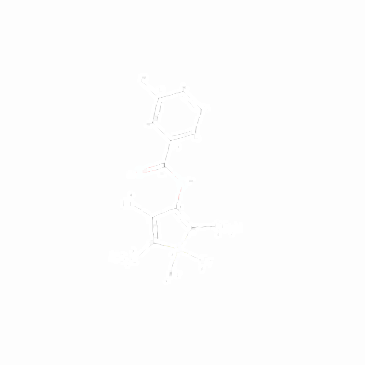 CCC1=C(C(=O)O)S(C(C)C)(C(C)C)C(C(=O)O)=C1OC(=O)c1cccc(C)c1